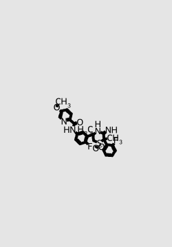 COc1ccc(C(=O)Nc2ccc(F)c([C@]3(C)CS(=O)(=O)C(C)(c4ccccc4F)C(=N)N3)c2)nc1